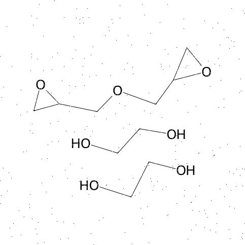 C(OCC1CO1)C1CO1.OCCO.OCCO